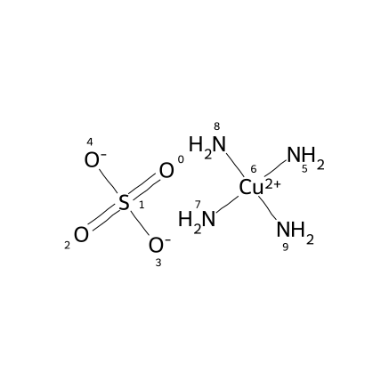 O=S(=O)([O-])[O-].[NH2][Cu+2]([NH2])([NH2])[NH2]